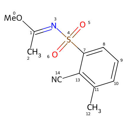 COC(C)=NS(=O)(=O)c1cccc(C)c1C#N